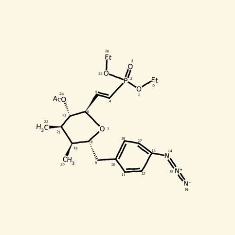 CCOP(=O)(/C=C/[C@H]1O[C@H](Cc2ccc(N=[N+]=[N-])cc2)[C@@H](C)[C@@H](C)[C@@H]1OC(C)=O)OCC